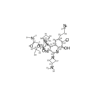 CN(C)C(=O)CCc1nc2c(N3CC(N(C)C)C3)nc3c(O)c(Cl)c(CCC#N)cc3c2n1C1C2CC1N(C(=O)OC(C)(C)C)C2